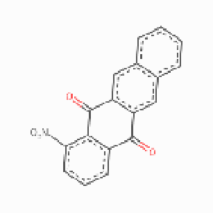 O=C1c2cc3ccccc3cc2C(=O)c2c1cccc2[N+](=O)[O-]